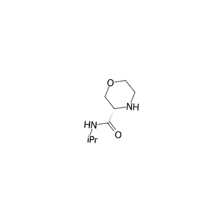 CC(C)NC(=O)[C@@H]1COCCN1